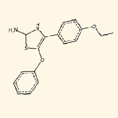 CCOc1ccc(C2=C(Oc3ccccc3)SC(N)N2)cc1